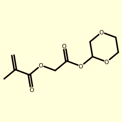 C=C(C)C(=O)OCC(=O)OC1COCCO1